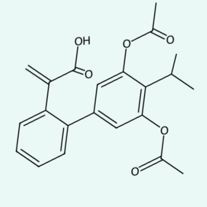 C=C(C(=O)O)c1ccccc1-c1cc(OC(C)=O)c(C(C)C)c(OC(C)=O)c1